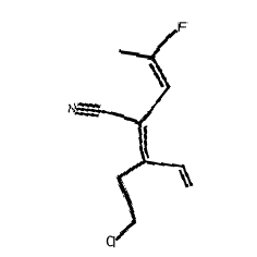 C=C/C(CCCl)=C(C#N)\C=C(/C)F